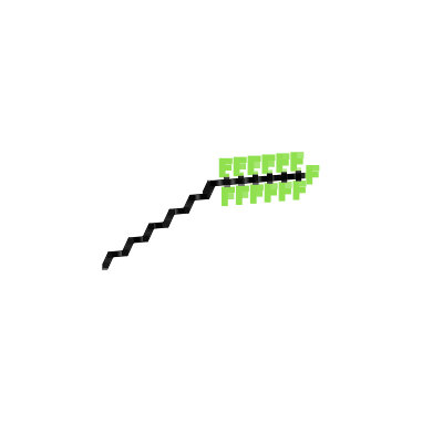 CCCCCCCCCCC=CC(F)(F)C(F)(F)C(F)(F)C(F)(F)C(F)(F)C(F)(F)F